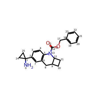 NC1(c2ccc3c(c2)CC2CCC2N3C(=O)OCc2ccccc2)CC1